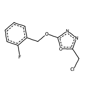 Fc1ccccc1COc1nnc(CCl)o1